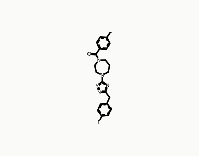 Cc1ccc(C(=O)N2CCCN(c3nc(Cc4ccc(F)cc4)ns3)CC2)cc1